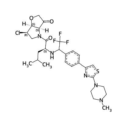 CC(C)C[C@H](NC(c1ccc(-c2csc(N3CCN(C)CC3)n2)cc1)C(F)(F)F)C(=O)N1C[C@@H](Cl)[C@H]2OCC(=O)[C@H]21